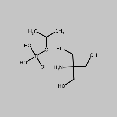 CC(C)[O][Ti]([OH])([OH])[OH].NC(CO)(CO)CO